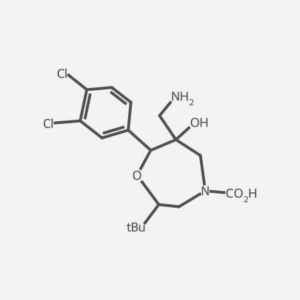 CC(C)(C)C1CN(C(=O)O)CC(O)(CN)C(c2ccc(Cl)c(Cl)c2)O1